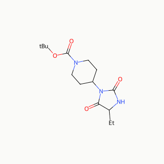 CCC1NC(=O)N(C2CCN(C(=O)OC(C)(C)C)CC2)C1=O